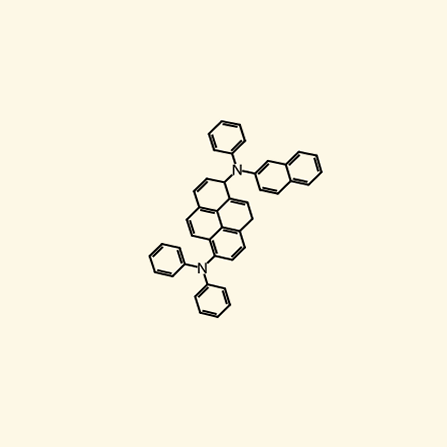 C1=CC(N(c2ccccc2)c2ccc3ccccc3c2)C2=CCc3ccc(N(c4ccccc4)c4ccccc4)c4ccc1c2c34